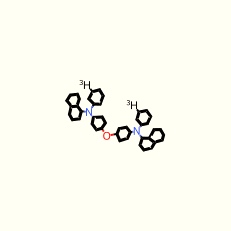 [3H]c1cccc(N(c2ccc(Oc3ccc(N(c4cccc([3H])c4)c4cccc5ccccc45)cc3)cc2)c2cccc3ccccc23)c1